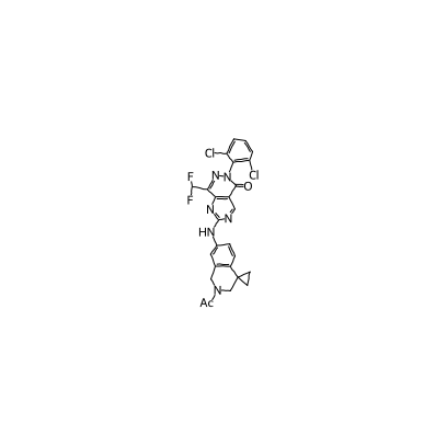 CC(=O)N1Cc2cc(Nc3ncc4c(=O)n(-c5c(Cl)cccc5Cl)nc(C(F)F)c4n3)ccc2C2(CC2)C1